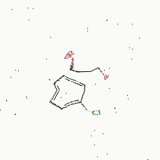 BrCCBr.Clc1ccccc1